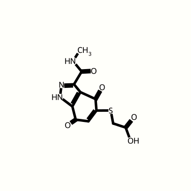 CNC(=O)c1n[nH]c2c1C(=O)C(SCC(=O)O)=CC2=O